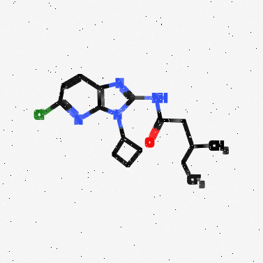 CC(CC(=O)Nc1nc2ccc(Cl)nc2n1C1CCC1)CC(F)(F)F